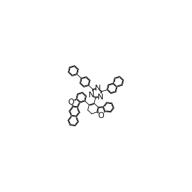 c1ccc(-c2ccc(-c3nc(C4=C(c5cccc6oc7cc8ccccc8cc7c56)CCc5oc6ccccc6c54)nc(-c4ccc5ccccc5c4)n3)cc2)cc1